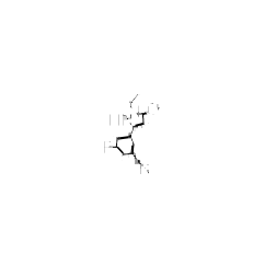 CCn1[nH]c(-c2cc(F)cc(C#N)c2)cc1=O